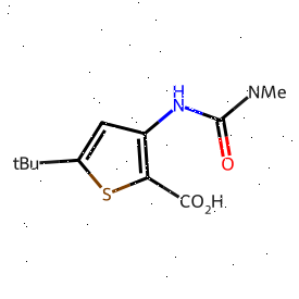 CNC(=O)Nc1cc(C(C)(C)C)sc1C(=O)O